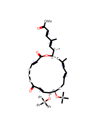 COC(=O)/C=C/C(C)=C/[C@H](C)[C@@H]1C/C(C)=C/C=C/CC[C@@H](O[Si](C)(C)C)[C@H](O[Si](C(C)C)(C(C)C)C(C)C)/C=C/C(=O)CCC/C=C/C(=O)O1